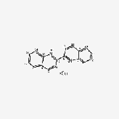 [Cu].c1ccc2nc(-c3ccc4ccccc4n3)ccc2c1